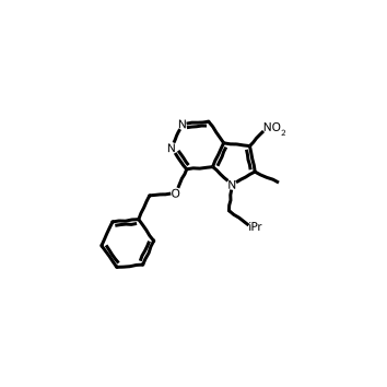 Cc1c([N+](=O)[O-])c2cnnc(OCc3ccccc3)c2n1CC(C)C